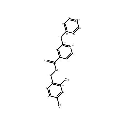 O=C(NCc1ccc(Cl)cc1Cl)c1ccnc(Oc2ccncc2)c1